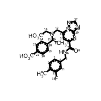 Cc1ccc(CNC(=O)c2cc(CN(CC(=O)O)[C@@H](C)c3ccc(C(=O)O)cc3)n3ncnc3n2)cc1F